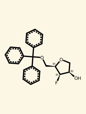 O[C@@H]1CO[C@H](COC(c2ccccc2)(c2ccccc2)c2ccccc2)[C@@H]1F